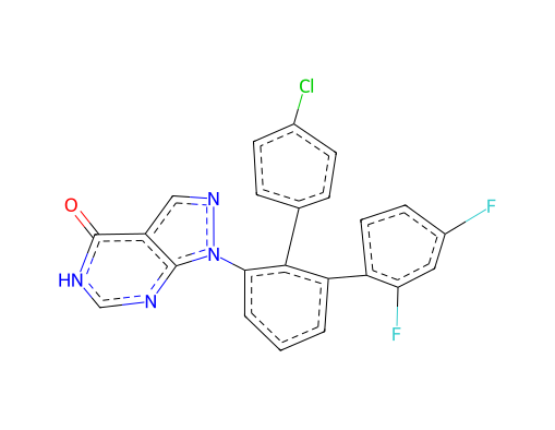 O=c1[nH]cnc2c1cnn2-c1cccc(-c2ccc(F)cc2F)c1-c1ccc(Cl)cc1